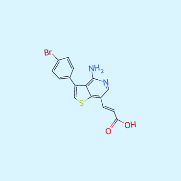 Nc1ncc(C=CC(=O)O)c2scc(-c3ccc(Br)cc3)c12